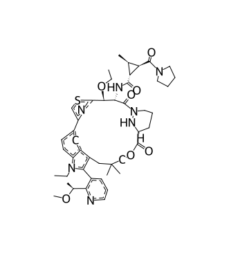 CCO[C@@H]1c2nc(cs2)-c2ccc3c(c2)c(c(-c2cccnc2[C@H](C)OC)n3CC)CC(C)(C)COC(=O)[C@@H]2CCCN(N2)C(=O)[C@H]1NC(=O)[C@@H]1[C@@H](C)[C@H]1C(=O)N1CCCC1